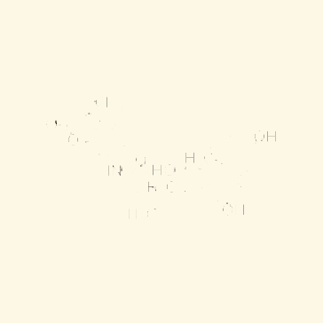 Cc1cc(=O)oc2cc(NC(=O)CCC(C)C3CCC4C5C(O)CC6CC(O)CCC6(C)C5CC(O)C34C)ccc12